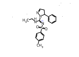 CCN/C(=N\S(=O)(=O)c1ccc(C)cc1)N1N=CCC1c1ccccc1